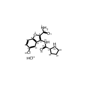 Cl.NC(=O)c1oc2ccc(Cl)cc2c1NC(=O)[C@@H]1CCCN1